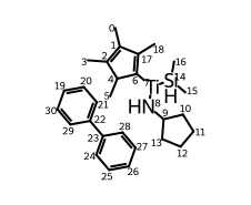 CC1=C(C)C(C)[C]([Ti]([NH]C2CCCC2)[SiH](C)C)=C1C.c1ccc(-c2ccccc2)cc1